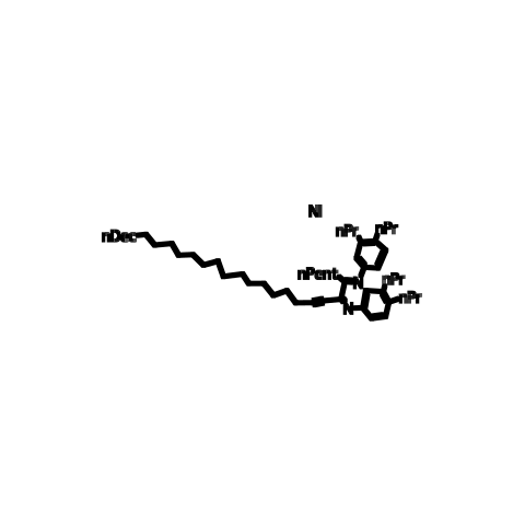 CCCCCCCCCCCCCCCCCCCCCCCCC#CC(=Nc1ccc(CCC)c(CCC)c1)C(CCCCC)=Nc1ccc(CCC)c(CCC)c1.[Ni]